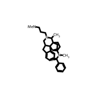 CNCCCN1CC2Cc3ccccc3C23C2CCC3(CCC2N(C)C(=O)c2ccccc2)C1C